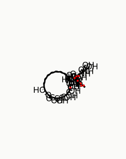 C=CCOC(=O)N[C@@H]1[C@H](O)[C@H](O[C@H]2/C=C/C=C/C=C/C=C/C=C/C=C/C=C/[C@H](C)[C@@H](O)[C@@H](C)[C@H](C)OC(=O)C[C@H](O)C[C@H](O)CC[C@@H](O)[C@H](O)C[C@H](O)C[C@]3(O)C[C@H](OC(=O)OCC=C)[C@@H](NC(=O)NCCNC(=O)NC(CO)CO)[C@H](C2)O3)O[C@H](C)[C@H]1O